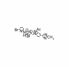 CC(=O)c1nn(CC(=O)N2C3CCC(CC3)[C@@H]2C(=O)Nc2cccc(Br)n2)c2ccc(-c3cnc(C)nc3)cc12